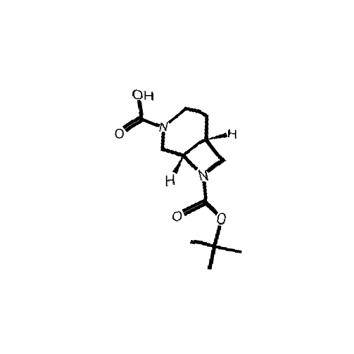 CC(C)(C)OC(=O)N1C[C@H]2CCN(C(=O)O)C[C@H]21